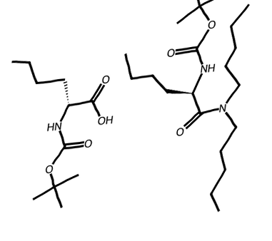 CCCCCN(CCCCC)C(=O)[C@@H](CCCC)NC(=O)OC(C)(C)C.CCCC[C@@H](NC(=O)OC(C)(C)C)C(=O)O